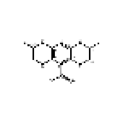 CC(=O)c1c2c(cc3c1CCC(C)C3)CC(C)CC2